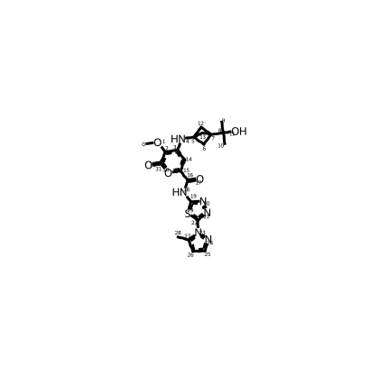 COc1c(NC23CC(C(C)(C)O)(C2)C3)cc(C(=O)Nc2nnc(-n3nccc3C)s2)oc1=O